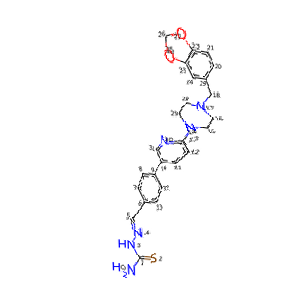 NC(=S)N/N=C/c1ccc(-c2ccc(N3CCN(Cc4ccc5c(c4)OCO5)CC3)nc2)cc1